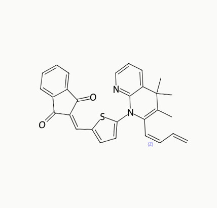 C=C/C=C\C1=C(C)C(C)(C)c2cccnc2N1c1ccc(C=C2C(=O)c3ccccc3C2=O)s1